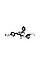 Cc1cc(OCC(=O)C(CCc2ccc(N)nc2)NC(=O)C2CCCC2)no1